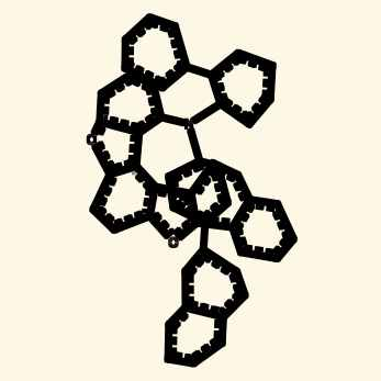 c1ccc(-c2ccccc2N(c2ccc(-c3ccc4ccccc4c3)cc2)c2cccc3oc4ccc5oc6c7ccccc7ccc6c5c4c23)cc1